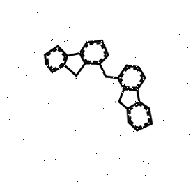 [CH]1c2ccccc2-c2cccc(Cc3cccc4c3[CH]c3ccccc3-4)c21